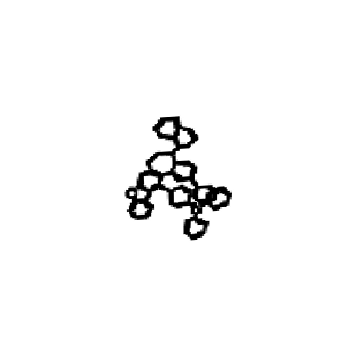 c1ccc(-c2ccc3c(c2)-c2c(cc4oc5ccccc5c4c2-c2ccc(N(c4ccccc4)c4ccccc4)cc2)CCC3c2cccc3ccccc23)cc1